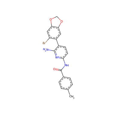 Cc1ccc(C(=O)Nc2ccc(-c3cc4c(cc3Br)OCO4)c(N)n2)cc1